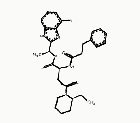 CC[C@H]1CCCCN1C(=O)C[C@H](NC(=O)CCc1ccccc1)C(=O)N[C@@H](C)c1nc2c(F)cccc2[nH]1